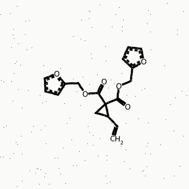 C=CC1CC1(C(=O)OCc1ccco1)C(=O)OCc1ccco1